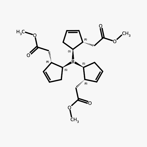 COC(=O)C[C@H]1C=CC[C@@H]1B([C@H]1CC=C[C@@H]1CC(=O)OC)[C@H]1CC=C[C@@H]1CC(=O)OC